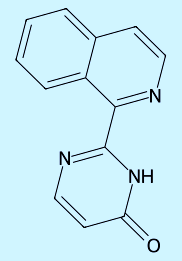 O=c1ccnc(-c2nccc3ccccc23)[nH]1